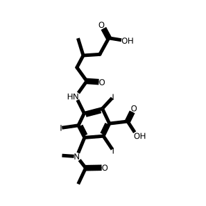 CC(=O)N(C)c1c(I)c(NC(=O)CC(C)CC(=O)O)c(I)c(C(=O)O)c1I